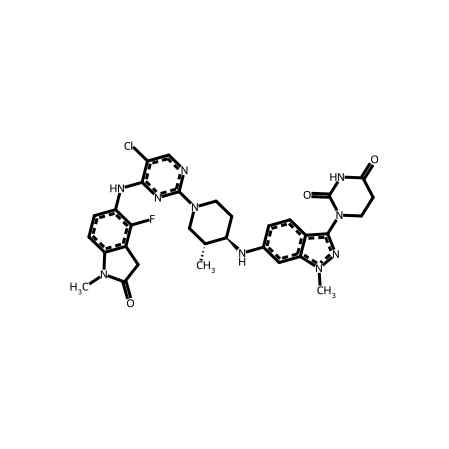 C[C@@H]1CN(c2ncc(Cl)c(Nc3ccc4c(c3F)CC(=O)N4C)n2)CC[C@H]1Nc1ccc2c(N3CCC(=O)NC3=O)nn(C)c2c1